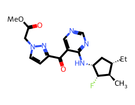 CC[C@H]1C[C@@H](Nc2ncncc2C(=O)c2ccn(CC(=O)OC)n2)[C@@H](F)[C@@H]1C